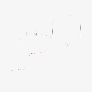 C=C(C)C(=O)OC1([SiH2]C)CCCCO1